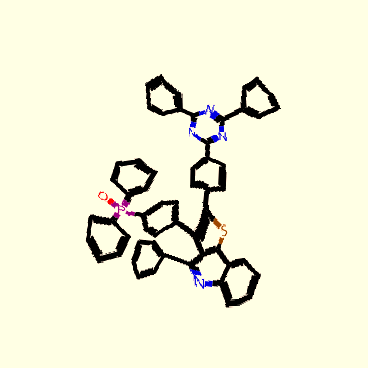 O=P(c1ccccc1)(c1ccccc1)c1ccc(-c2c(-c3ccc(-c4nc(-c5ccccc5)nc(-c5ccccc5)n4)cc3)sc3c2c(-c2ccccc2)nc2ccccc23)cc1